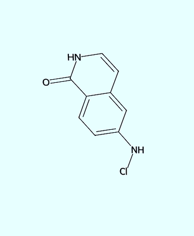 O=c1[nH]ccc2cc(NCl)ccc12